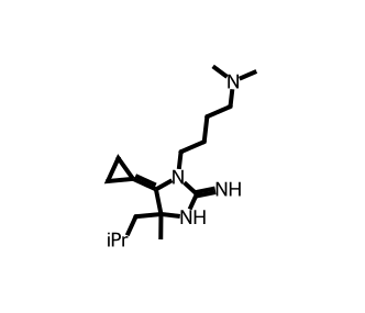 CC(C)CC1(C)NC(=N)N(CCCCN(C)C)C1=C1CC1